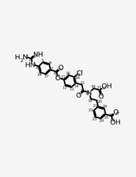 N=C(N)Nc1ccc(C(=O)Oc2ccc(CC(=O)N(CCc3cccc(C(=O)O)c3)CC(=O)O)c(Cl)c2)cc1